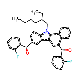 CCCCC(CC)Cn1c2ccc(C(=O)c3ccccc3F)cc2c2cc(C(=O)c3ccccc3F)c3ccccc3c21